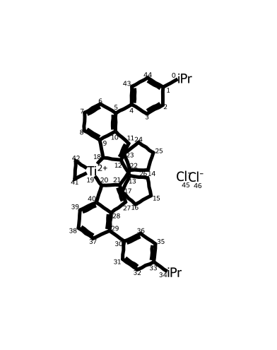 CC(C)c1ccc(-c2cccc3c2C=C(C2CCCC2)[CH]3[Ti+2]2([CH]3C(C4CCCC4)=Cc4c(-c5ccc(C(C)C)cc5)cccc43)[CH2][CH2]2)cc1.[Cl-].[Cl-]